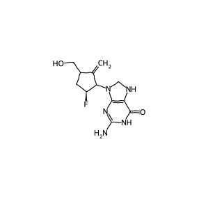 C=C1C(CO)C[C@H](F)C1N1CNc2c1nc(N)[nH]c2=O